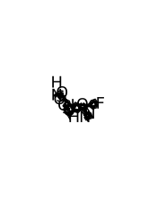 CNS(=O)(=O)CCCN(c1cc2oc(-c3ccc(F)cc3)c(-c3ncc[nH]3)c2cc1C1CC1)S(C)(=O)=O